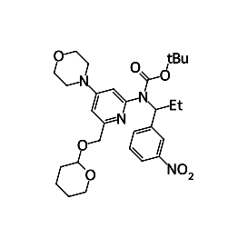 CCC(c1cccc([N+](=O)[O-])c1)N(C(=O)OC(C)(C)C)c1cc(N2CCOCC2)cc(COC2CCCCO2)n1